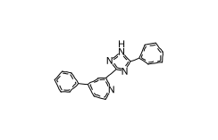 c1ccc(-c2ccnc(-c3n[nH]c(-c4ccccc4)n3)c2)cc1